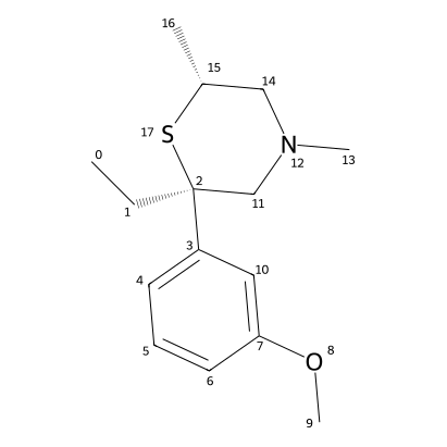 CC[C@@]1(c2cccc(OC)c2)CN(C)C[C@@H](C)S1